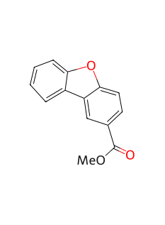 COC(=O)c1ccc2oc3ccccc3c2c1